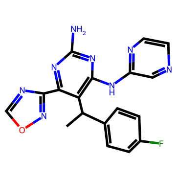 CC(c1ccc(F)cc1)c1c(Nc2cnccn2)nc(N)nc1-c1ncon1